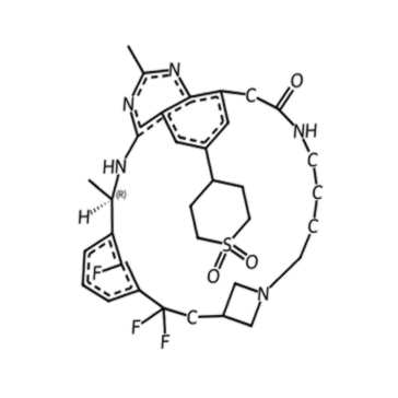 Cc1nc2c3cc(C4CCS(=O)(=O)CC4)cc(c3n1)CC(=O)NCCCCN1CC(C1)CC(F)(F)c1cccc(c1F)[C@@H](C)N2